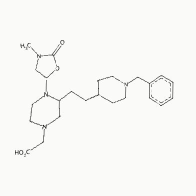 CN1CC(N2CCN(CC(=O)O)CC2CCC2CCN(Cc3ccccc3)CC2)OC1=O